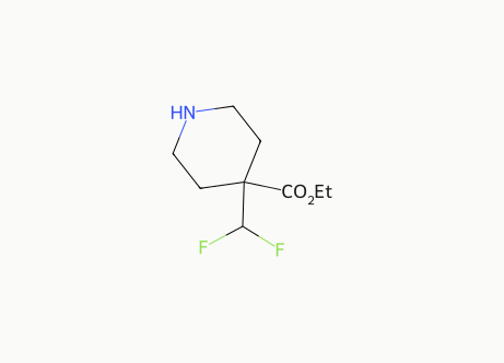 CCOC(=O)C1(C(F)F)CCNCC1